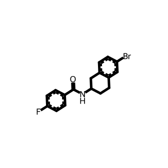 O=C(NC1CCc2cc(Br)ccc2C1)c1ccc(F)cc1